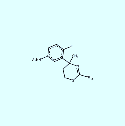 CC(=O)Nc1ccc(F)c(C2(C)CCSC(N)=N2)c1